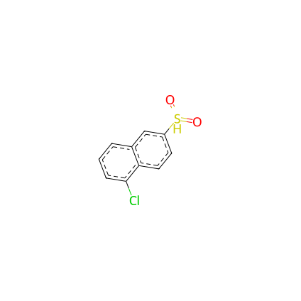 O=[SH](=O)c1ccc2c(Cl)cccc2c1